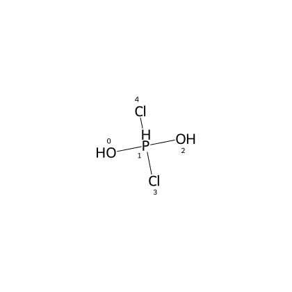 O[PH](O)(Cl)Cl